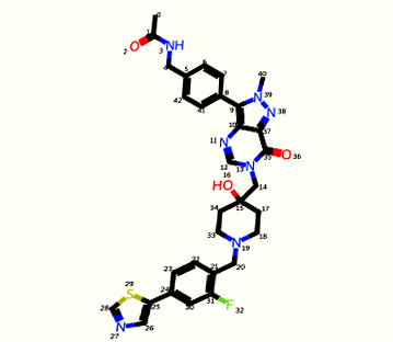 CC(=O)NCc1ccc(-c2c3ncn(CC4(O)CCN(Cc5ccc(-c6cncs6)cc5F)CC4)c(=O)c3nn2C)cc1